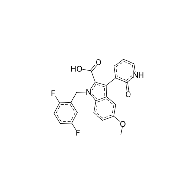 COc1ccc2c(c1)c(-c1ccc[nH]c1=O)c(C(=O)O)n2Cc1cc(F)ccc1F